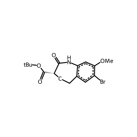 COc1cc2c(cc1Br)CC[C@H](C(=O)OC(C)(C)C)C(=O)N2